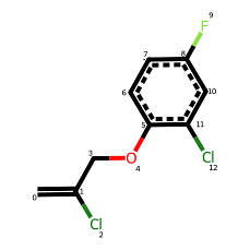 C=C(Cl)COc1c[c]c(F)cc1Cl